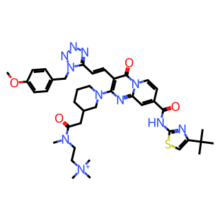 COc1ccc(Cn2nnnc2/C=C/c2c(N3CCCC(CC(=O)N(C)CC[N+](C)(C)C)C3)nc3cc(C(=O)Nc4nc(C(C)(C)C)cs4)ccn3c2=O)cc1